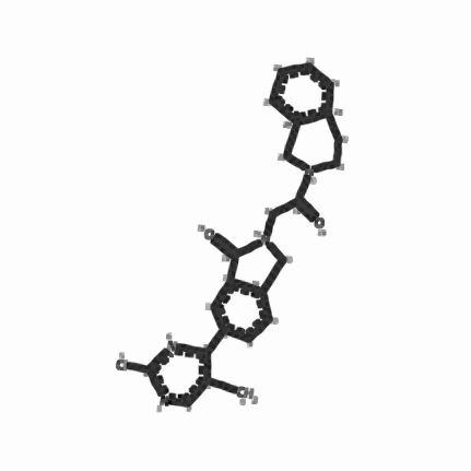 Cc1cnc(Cl)nc1-c1ccc2c(c1)C(=O)N(CC(=O)N1CCc3ccccc3C1)C2